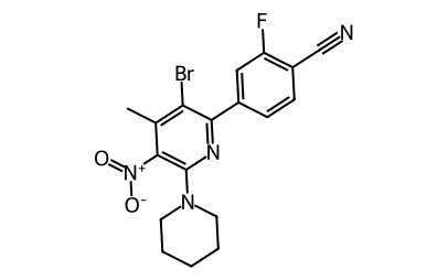 Cc1c(Br)c(-c2ccc(C#N)c(F)c2)nc(N2CCCCC2)c1[N+](=O)[O-]